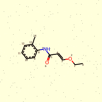 CCO/C=C/C(=O)Nc1ccccc1C